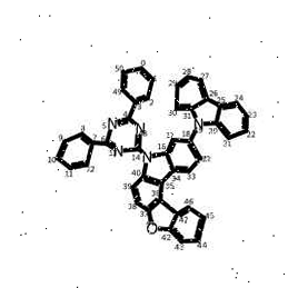 c1ccc(-c2nc(-c3ccccc3)nc(-n3c4cc(-n5c6ccccc6c6ccccc65)ccc4c4c5c(ccc43)oc3ccccc35)n2)cc1